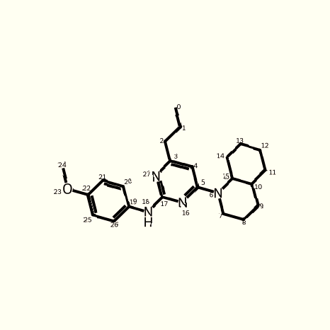 CCCc1cc(N2CCCC3CCCCC32)nc(Nc2ccc(OC)cc2)n1